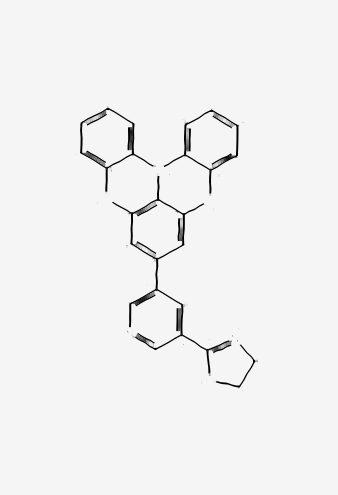 c1ccc2c(c1)Oc1cc(-c3cncc(C4=NCCO4)c3)cc3c1B2c1ccccc1O3